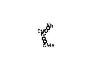 CCC(N1CCc2cc3c(cc2C1)OCO3)N(C)C(C)c1ccc2cc(OC)ccc2c1